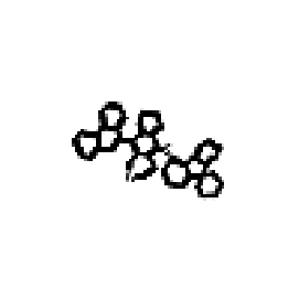 c1ccc2c(c1)-c1c(Sc3c4ccccc4c(-c4cc5ccccc5c5ccccc45)c4cnccc34)cccc1C21CCCCC1